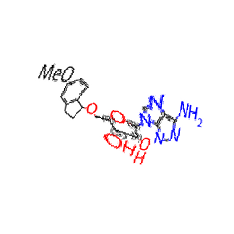 COc1ccc2c(c1)CCC2OC[C@H]1O[C@@H](n2cnc3c(N)ncnc32)[C@H](O)[C@@H]1O